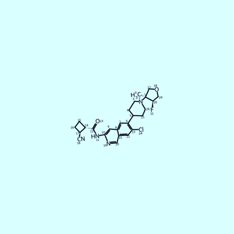 C[C@]1(N2CCC(c3cc4cc(NC(=O)[C@H]5CC[C@@H]5C#N)ncc4cc3Cl)CC2)COC[C@H]1F